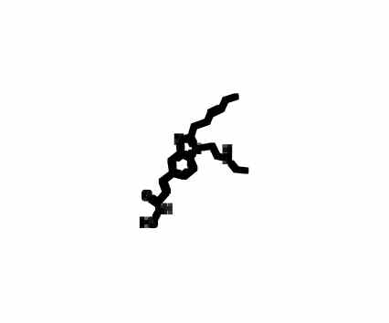 CC/C=C/CCc1nc2cc(/C=C/C(=O)NO)ccc2n1CCNCC